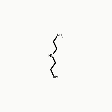 CCCCCNCCN